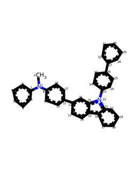 CN(c1ccccc1)c1ccc(-c2ccc3c4ccccc4n(-c4ccc(-c5ccccc5)cc4)c3c2)cc1